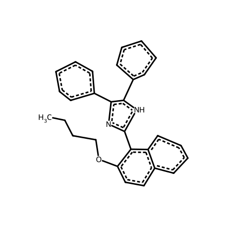 CCCCOc1ccc2ccccc2c1-c1nc(-c2ccccc2)c(-c2ccccc2)[nH]1